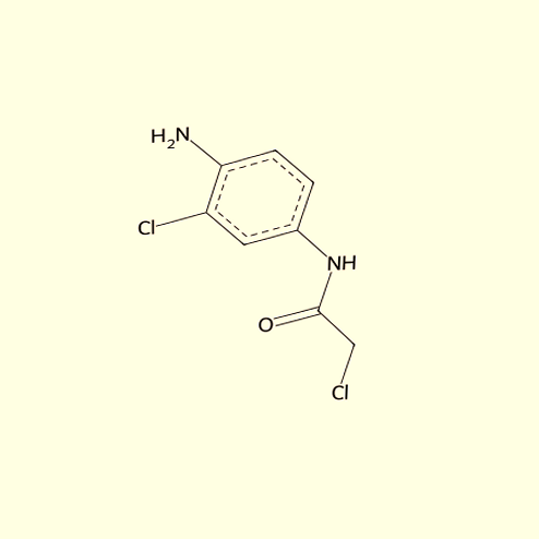 Nc1ccc(NC(=O)CCl)cc1Cl